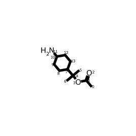 CC(=O)OC(C)(C)C1CCC(N)CC1